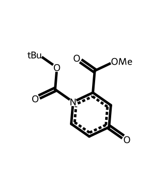 COC(=O)c1cc(=O)ccn1C(=O)OC(C)(C)C